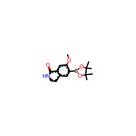 COc1cc2c(=O)[nH]ccc2cc1B1OC(C)(C)C(C)(C)O1